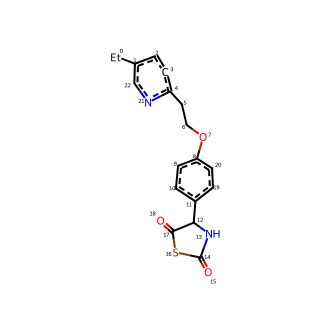 CCc1ccc(CCOc2ccc(C3NC(=O)SC3=O)cc2)nc1